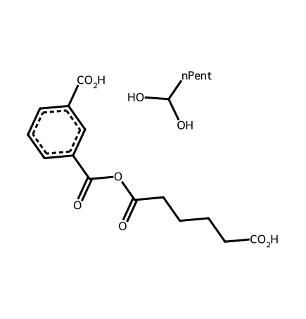 CCCCCC(O)O.O=C(O)CCCCC(=O)OC(=O)c1cccc(C(=O)O)c1